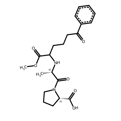 COC(=O)C(CCCC(=O)c1ccccc1)N[C@@H](C)C(=O)N1CCC[C@H]1C(=O)O